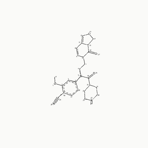 COc1cc(N(CCC2C=CC3=COCC3C2=O)C(=O)C2CCNCC2)ccc1C#N